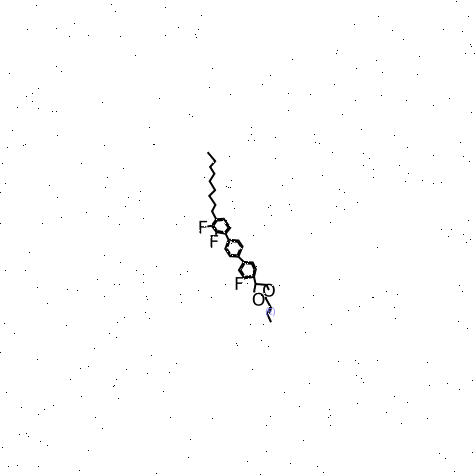 C/C=C/C1OCC(c2ccc(-c3ccc(-c4ccc(CCCCCCCCC)c(F)c4F)cc3)cc2F)CO1